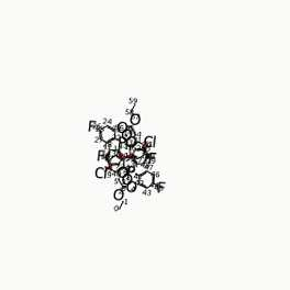 CCOC(=O)COc1c(Cl)ccc(P(=O)(c2ccc(F)cc2)c2ccc(F)cc2)c1-c1c(P(=O)(c2ccc(F)cc2)c2ccc(F)cc2)ccc(Cl)c1OCC(=O)OCC